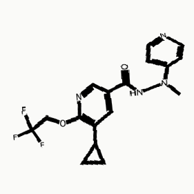 CN(NC(=O)c1cnc(OCC(F)(F)F)c(C2CC2)c1)c1ccncc1